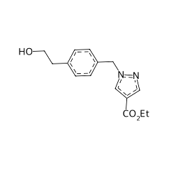 CCOC(=O)c1cnn(Cc2ccc(CCO)cc2)c1